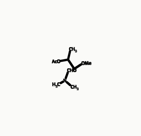 CN(C)C=O.COCC(C)OC(C)=O